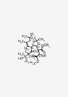 COC(=O)[C@H](O)[C@](O)(C(=O)OC)[C@@H]1OC(C)(C)O[C@H]1[C@H](CC(C)CC(C)C)CC(C)(C)[Si](C)(C)O